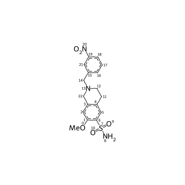 COc1cc2c(cc1S(N)(=O)=O)CCN(Cc1cccc([N+](=O)[O-])c1)C2